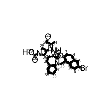 COc1ccc2cc(Br)ccc2c1CN1C(=O)[C@@H](NN(C(C)C=O)C2CN(C(=O)O)C2)CCc2ccccc21